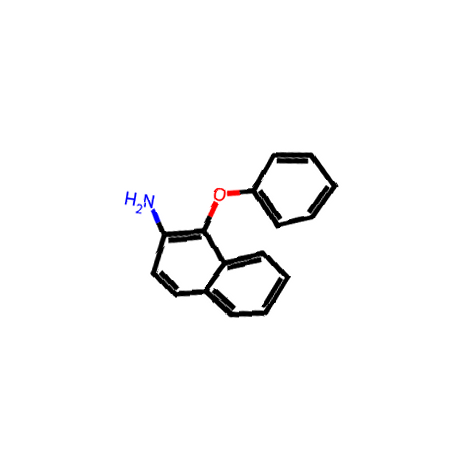 Nc1ccc2ccccc2c1Oc1ccccc1